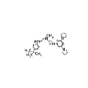 CN(CCNc1ccc(C(C)(C)C)cc1)CCNc1cc(N2CCCC2)nc(N2CCCC2)n1